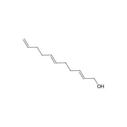 C=CCC/C=C/CC/C=C/CO